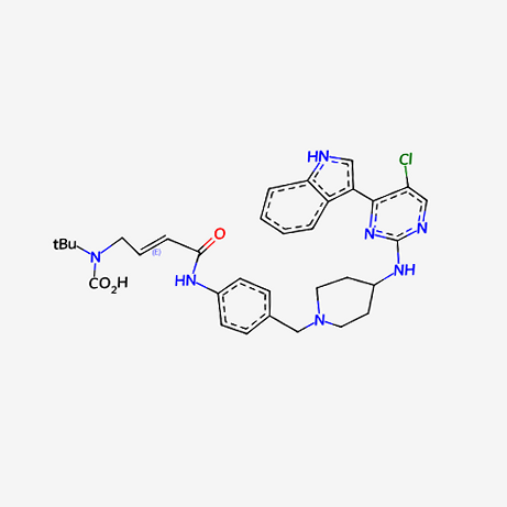 CC(C)(C)N(C/C=C/C(=O)Nc1ccc(CN2CCC(Nc3ncc(Cl)c(-c4c[nH]c5ccccc45)n3)CC2)cc1)C(=O)O